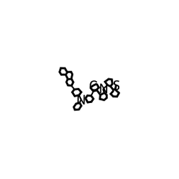 c1ccc(N(c2ccc(-c3ccc4c(ccc5ccccc54)c3)cc2)c2cccc(-c3cccc4c3c3ccccc3n4-c3cccc4sc5ccccc5c34)c2)cc1